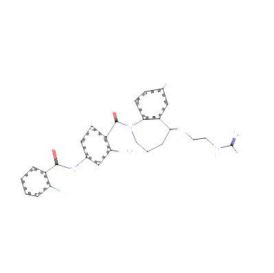 COc1cc(NC(=O)c2ccccc2Cl)ccc1C(=O)N1CCCC(OCCNC(C)=N)c2cc(Cl)ccc21.Cl